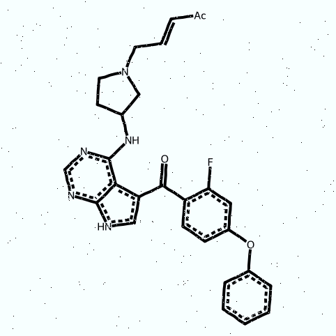 CC(=O)/C=C/CN1CCC(Nc2ncnc3[nH]cc(C(=O)c4ccc(Oc5ccccc5)cc4F)c23)C1